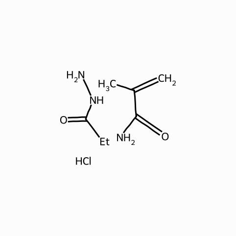 C=C(C)C(N)=O.CCC(=O)NN.Cl